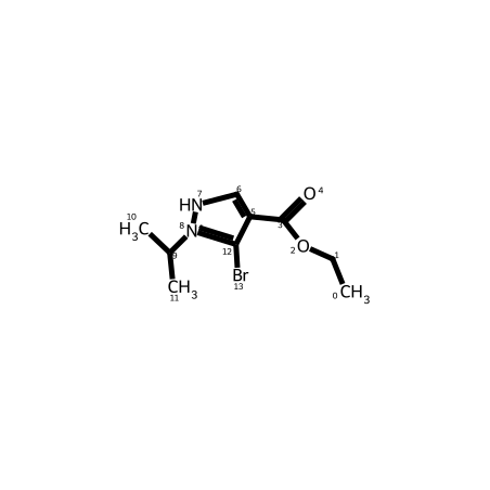 CCOC(=O)c1c[nH][n+](C(C)C)c1Br